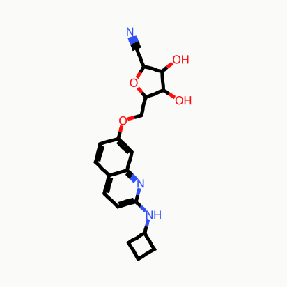 N#CC1OC(COc2ccc3ccc(NC4CCC4)nc3c2)C(O)C1O